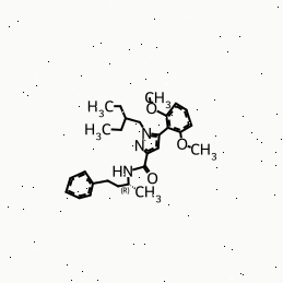 CCC(CC)Cn1nc(C(=O)N[C@H](C)CCc2ccccc2)cc1-c1c(OC)cccc1OC